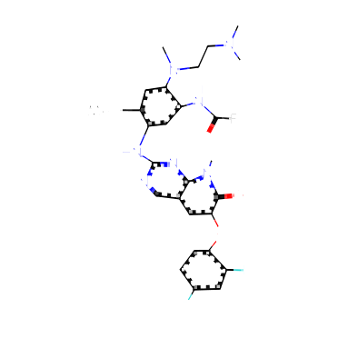 CCC(=O)Nc1cc(Nc2ncc3cc(Oc4ccc(F)cc4F)c(=O)n(C)c3n2)c(OC)cc1N(C)CCN(C)C